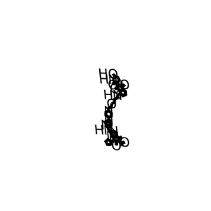 CC(=O)c1c(C)c2cnc(Nc3ccc(N4CCN(CCOCCCNc5cccc6c5C(=O)N(C5CCC(O)NC5=O)C6=O)CC4)cn3)nc2n(C2CCCC2)c1=O